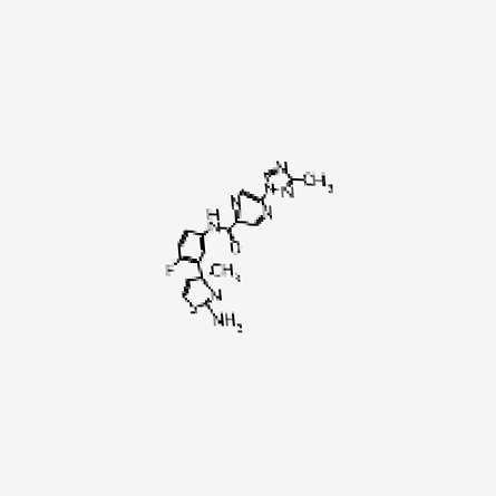 Cc1ncn(-c2cnc(C(=O)Nc3ccc(F)c([C@]4(C)C=CSC(N)=N4)c3)cn2)n1